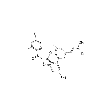 Cc1cc(F)ccc1C(=O)c1sc2cc(O)cc3c2c1Oc1c(F)cc(/C=C/C(=O)O)cc1-3